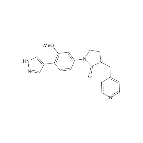 COc1cc(N2CCN(Cc3ccncc3)C2=O)ccc1-c1cn[nH]c1